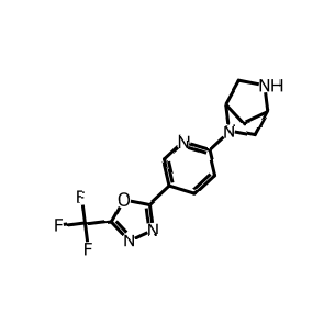 FC(F)(F)c1nnc(-c2ccc(N3CC4CC3CN4)nc2)o1